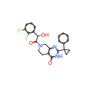 O=C(C(O)c1cccc(F)c1F)N1CCc2c(nc(C3(c4ccccc4)CC3)[nH]c2=O)C1